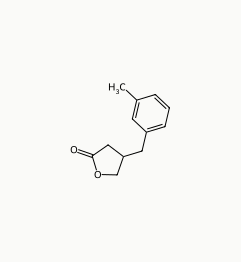 Cc1cccc(CC2COC(=O)C2)c1